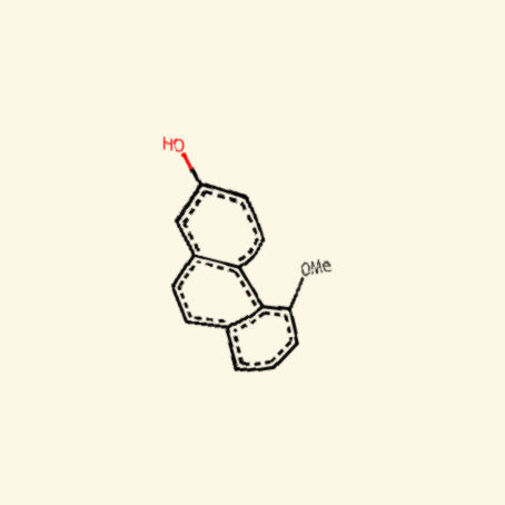 COc1cccc2ccc3cc(O)ccc3c12